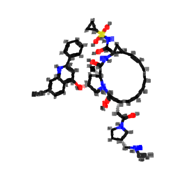 COc1ccc2c(O[C@@H]3C[C@H]4C(=O)N[C@]5(C(=O)NS(=O)(=O)C6CC6)CC5C=CCCCCC[C@H](CC(=O)N5CC[C@@H](CNC(=O)O)C5)C(=O)N4C3)cc(-c3ccccc3)nc2c1